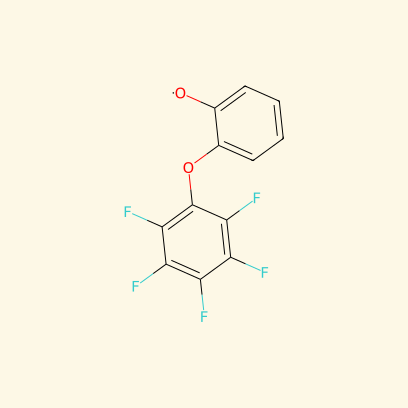 [O]c1ccccc1Oc1c(F)c(F)c(F)c(F)c1F